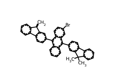 C=C1c2ccccc2-c2ccc(-c3c4ccccc4c(-c4ccc5c(c4)C(C)(C)c4ccccc4-5)c4cc(Br)ccc34)cc21